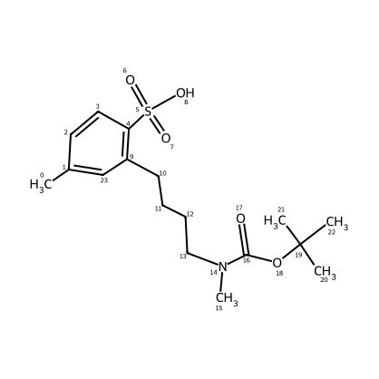 Cc1ccc(S(=O)(=O)O)c(CCCCN(C)C(=O)OC(C)(C)C)c1